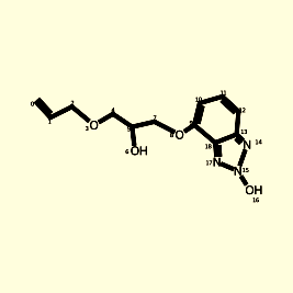 C=CCOCC(O)COc1cccc2nn(O)nc12